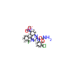 NC(=O)ON(C1=Nc2ccc([N+](=O)[O-])cc2C(c2ccccc2F)=NC1)c1cccc(Cl)c1